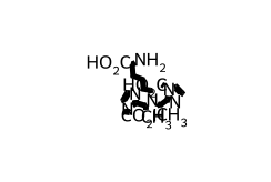 CC(c1nccn1C(=O)O)N(CCCCC(N)C(=O)O)C(C)c1nccn1C(=O)O